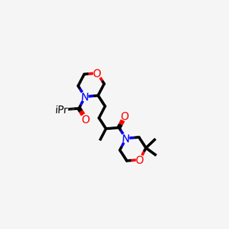 CC(C)C(=O)N1CCOCC1CCC(C)C(=O)N1CCOC(C)(C)C1